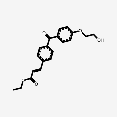 CCOC(=O)C=Cc1ccc(C(=O)c2ccc(OCCO)cc2)cc1